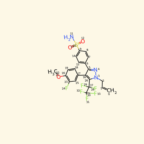 C=CCn1nc(-c2ccc(S(N)(=O)=O)cc2)c(-c2ccc(OC)c(F)c2)c1C(F)(F)C(F)(F)F